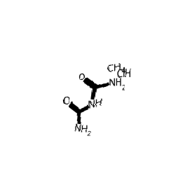 C.Cl.NC(=O)NC(N)=O